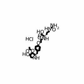 CC(=O)O[C@@H]1[C@@H](O)CN[C@@H]1Cc1ccc(OCC(=O)N[C@@H](CCCNC(N)=O)C(=O)O)cc1.Cl